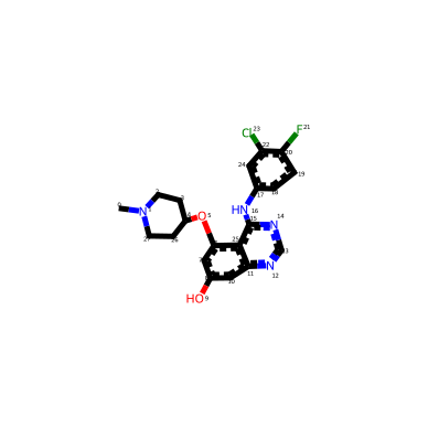 CN1CCC(Oc2cc(O)cc3ncnc(Nc4ccc(F)c(Cl)c4)c23)CC1